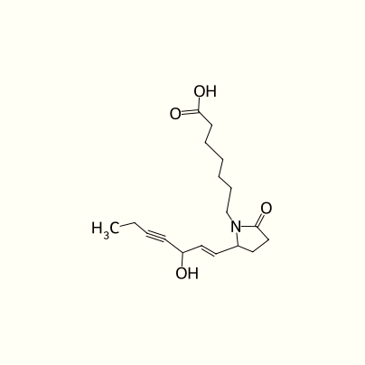 CCC#CC(O)/C=C/C1CCC(=O)N1CCCCCCC(=O)O